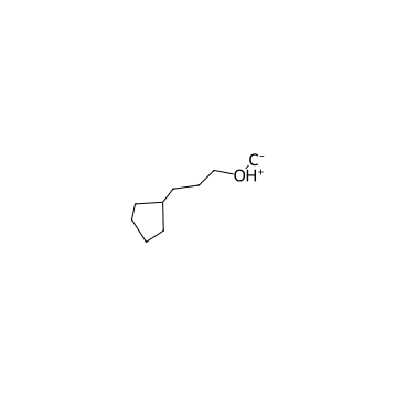 [CH2-][OH+]CCCC1CCCC1